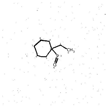 CCC1(P=O)CCCCC1